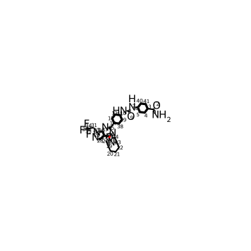 NC(=O)c1ccc(NC(=O)Nc2ccc(-c3nc(N4C5CCCC4COC5)c4cnn(CC(F)(F)F)c4n3)cc2)cc1